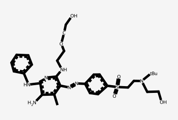 Cc1c(N)c(Nc2ccccc2)nc(NCCOCCO)c1/N=N/c1ccc(S(=O)(=O)CCN(CCO)C(C)(C)C)cc1